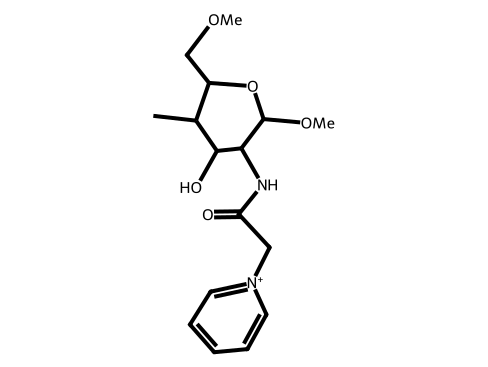 COCC1OC(OC)C(NC(=O)C[n+]2ccccc2)C(O)C1C